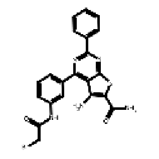 NC(=O)c1sc2nc(-c3ccccc3)nc(-c3cccc(NC(=O)CBr)c3)c2c1N